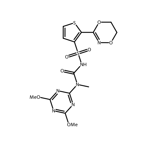 COc1nc(OC)nc(N(C)C(=O)NS(=O)(=O)c2ccsc2C2=NOCCO2)n1